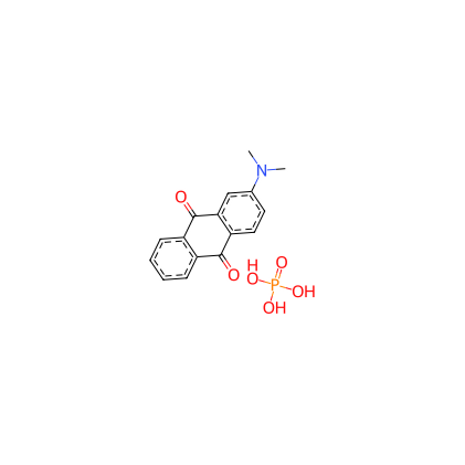 CN(C)c1ccc2c(c1)C(=O)c1ccccc1C2=O.O=P(O)(O)O